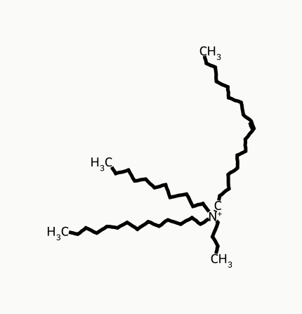 CCCCCCCC/C=C\CCCCCCCC[N+](CCCC)(CCCCCCCCCCC)CCCCCCCCCCCCCC